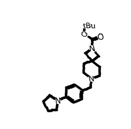 CC(C)(C)OC(=O)N1CC2(CCN(Cc3ccc(N4CCCC4)cc3)CC2)C1